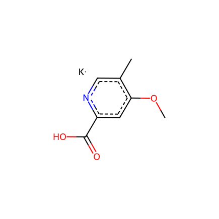 COc1cc(C(=O)O)ncc1C.[K]